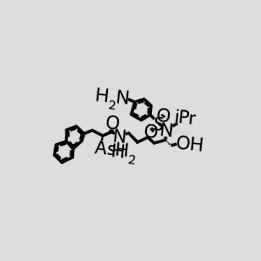 CC(C)CN([C@H](CO)CCCCNC(=O)[C@@H]([AsH2])Cc1ccc2ccccc2c1)S(=O)(=O)c1ccc(N)cc1